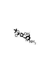 Cc1cc(N)nc(C[C@H]2CN(C(=O)OC(C)(C)C)C[C@@H]2O)c1